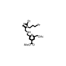 CCc1nnc(CNCc2cc(C(=O)OC)cc(COC(C)=O)n2)n1CCCC(C)C